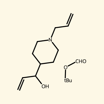 C=CCN1CCC(C(O)C=C)CC1.CC(C)(C)OC=O